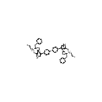 CCCN(Cc1nc(-c2ccc(-c3ccc(-c4cnc(CN(CCC)C(=O)Cc5ccccc5)s4)cc3)cc2)cs1)C(=O)Cc1ccccc1